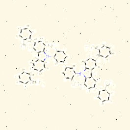 N#Cc1ccc(-c2ccc(C#N)c(-n3c4ccc(-c5ccccc5C(F)(F)F)cc4c4cc(-c5ccccc5C(F)(F)F)ccc43)c2)cc1-n1c2ccc(-c3ccccc3C(F)(F)F)cc2c2cc(-c3ccccc3C(F)(F)F)ccc21